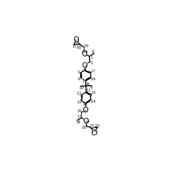 CC(COc1ccc(C(C)(C)c2ccc(OCC(C)OCC3CO3)cc2)cc1)OCC1CO1